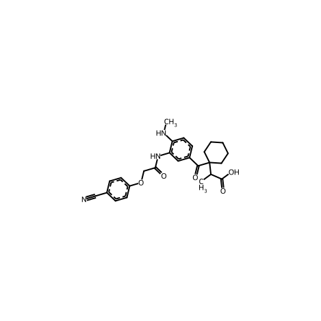 CNc1ccc(C(=O)C2(C(C)C(=O)O)CCCCC2)cc1NC(=O)COc1ccc(C#N)cc1